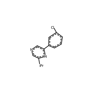 CC(C)c1cncc(-c2cccc(Cl)c2)n1